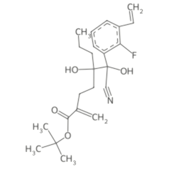 C=Cc1cccc(C(O)(C#N)C(O)(CCC)CCC(=C)C(=O)OC(C)(C)C)c1F